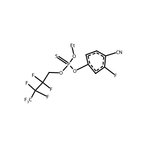 CCOP(=S)(OCC(F)(F)C(F)(F)C(F)(F)F)Oc1ccc(C#N)c(F)c1